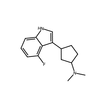 CN(C)C1CCC(c2c[nH]c3cccc(F)c23)C1